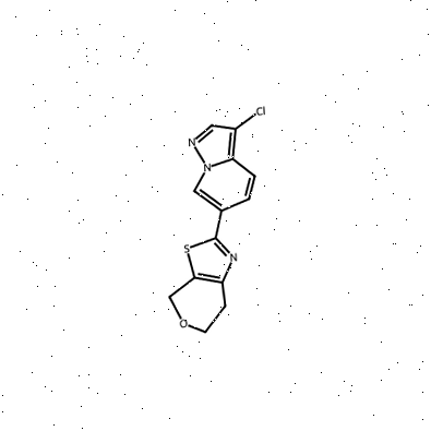 Clc1cnn2cc(-c3nc4c(s3)COCC4)ccc12